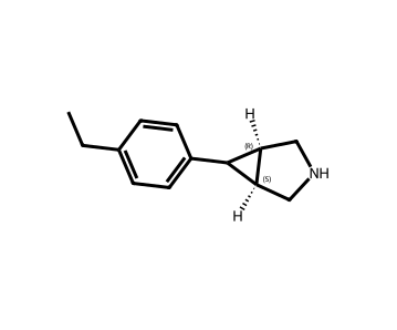 CCc1ccc(C2[C@H]3CNC[C@@H]23)cc1